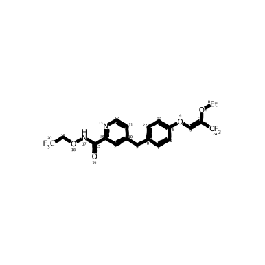 CCO/C(=C\Oc1ccc(Cc2ccnc(C(=O)NOCC(F)(F)F)c2)cc1)C(F)(F)F